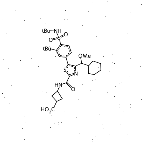 COC(c1nc(C(=O)NC2CC(C(=O)O)C2)sc1-c1ccc(S(=O)(=O)NC(C)(C)C)c(C(C)(C)C)c1)C1CCCCC1